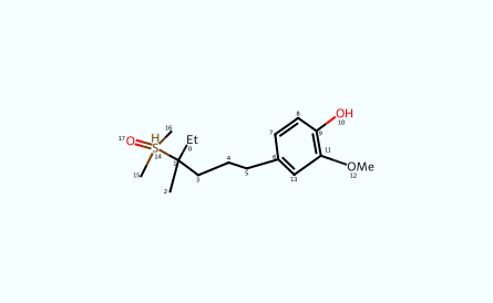 CCC(C)(CCCc1ccc(O)c(OC)c1)[SH](C)(C)=O